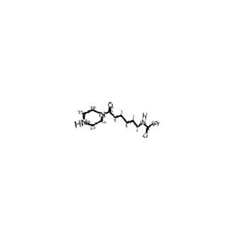 CC(C)C(=O)NCCCCCC(=O)N1CCNCC1